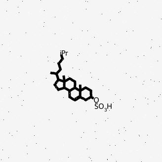 CC(C)CCCC(C)C1CCC2C3CC=C4CC(OS(=O)(=O)O)CCC4(C)C3CCC12C